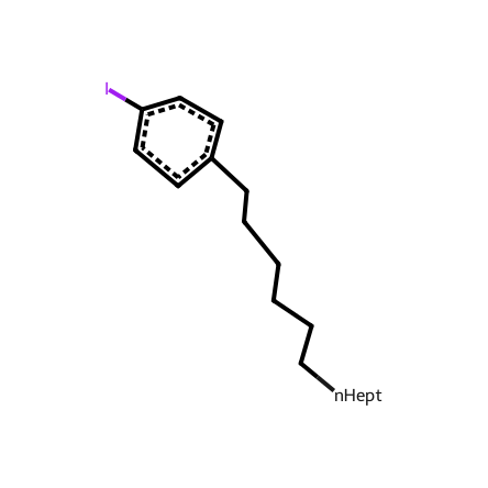 CCCCCCCCCCCCCc1ccc(I)cc1